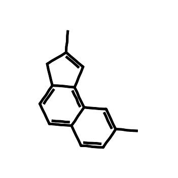 CC1=Cc2c(ccc3ccc(C)cc23)C1